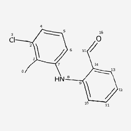 Cc1c(Cl)cccc1Nc1ccccc1C=O